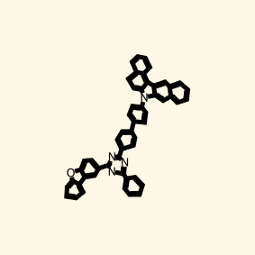 c1ccc(-c2nc(-c3ccc(-c4ccc(-n5c6cc7ccccc7cc6c6c7ccccc7ccc65)cc4)cc3)nc(-c3ccc4oc5ccccc5c4c3)n2)cc1